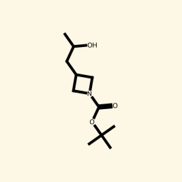 CC(O)CC1CN(C(=O)OC(C)(C)C)C1